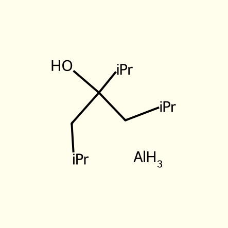 CC(C)CC(O)(CC(C)C)C(C)C.[AlH3]